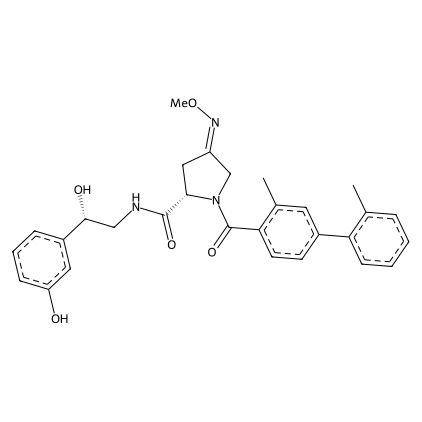 CO/N=C1\C[C@@H](C(=O)NC[C@@H](O)c2cccc(O)c2)N(C(=O)c2ccc(-c3ccccc3C)cc2C)C1